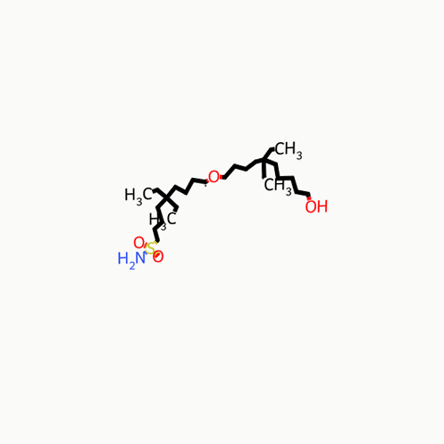 CCC(CC)(CCC[CH]OCCCCC(CC)(CC)CCCCCO)CCCCS(N)(=O)=O